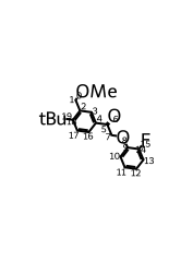 COCc1cc(C(=O)COc2ccccc2F)ccc1C(C)(C)C